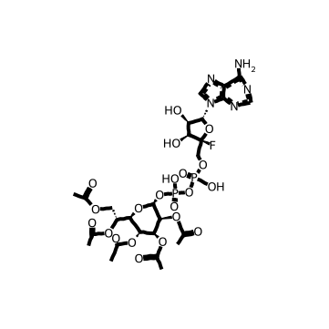 CC(=O)OC[C@@H](OC(C)=O)[C@H]1O[C@@H](OP(=O)(O)OP(=O)(O)OC[C@@]2(F)O[C@@H](n3cnc4c(N)ncnc43)[C@H](O)[C@@H]2O)[C@@H](OC(C)=O)[C@@H](OC(C)=O)[C@@H]1OC(C)=O